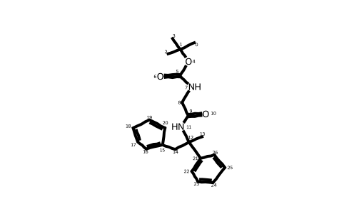 CC(C)(C)OC(=O)NCC(=O)NC(C)(Cc1ccccc1)c1ccccc1